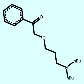 CCCCN(CCCC)CCCOCC(=O)c1ccccc1